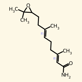 C/C(=C\C(N)=O)CC/C=C(\C)CCC1OC1(C)C